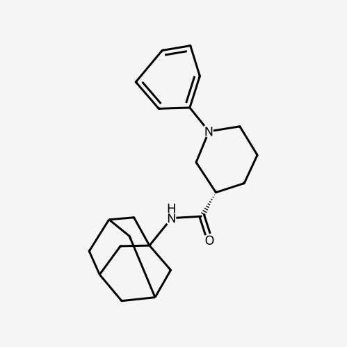 O=C(NC12CC3CC(CC(C3)C1)C2)[C@H]1CCCN(c2ccccc2)C1